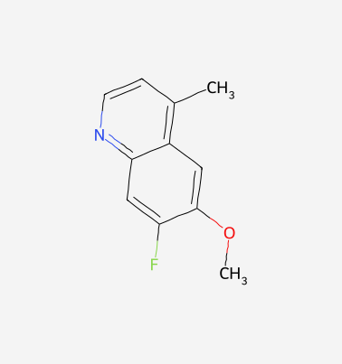 COc1cc2c(C)ccnc2cc1F